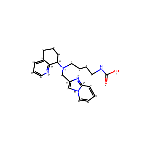 O=C(O)NCCCCN(Cc1cn2ccccc2n1)C1CCCc2cccnc21